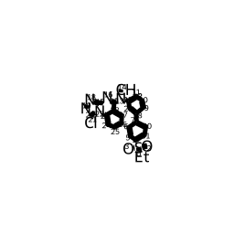 CCS(=O)(=O)c1ccc(-c2cccc(N(C)c3nc4nnc(Cl)n4c4ccccc34)c2)cc1